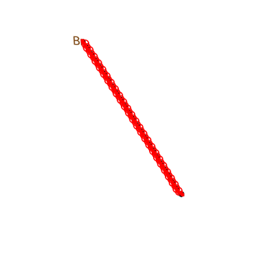 BrCCOCCOCCOCCOCCOCCOCCOCCOCCOCCOCCOCCOCCOCCOCCOCCOCCOCCOCCOCCOCCOCCOCCOCCOCCOCCOCCOCCOCCOCCOCCOCCOCCOCCOCCOCCOCCOCCOCCOCCOCCOCCOCCOCCOCCOCCOCCOCc1ccccc1